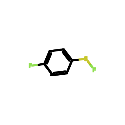 FSc1c[c]c(F)cc1